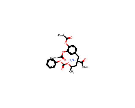 CCCCCC(=O)Oc1ccc(C[C@](N)(CC(C)OC(=O)Oc2ccccc2)C(=O)OC)cc1OC(=O)CCCCC